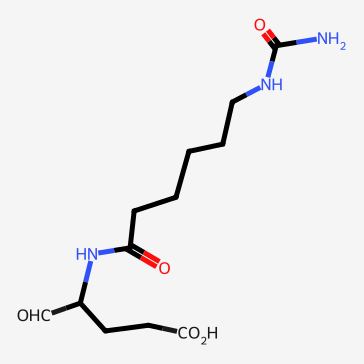 NC(=O)NCCCCCC(=O)NC(C=O)CCC(=O)O